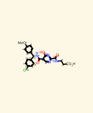 COc1ccc([C@H](NC(=O)c2cnc(C(=O)NCCC(=O)O)nc2O)c2ccc(Cl)cc2)cc1